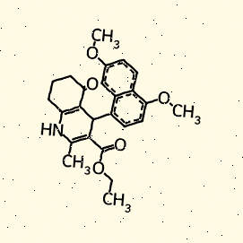 CCOC(=O)C1=C(C)NC2=C(C(=O)CCC2)C1c1ccc(OC)c2ccc(OC)cc12